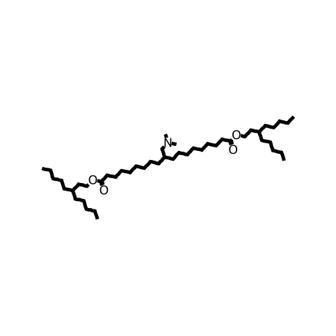 CCCCCC(CCCCC)CCOC(=O)CCCCCCCCC(CCCCCCCCC(=O)OCCC(CCCCC)CCCCC)CN(C)C